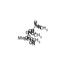 COc1cc(C(=O)N(C)c2ccc(C)cc2OCCCCC(=C=O)N2CCN(C)CC2)ccc1NC(=O)c1cccc2ncn(C)c12